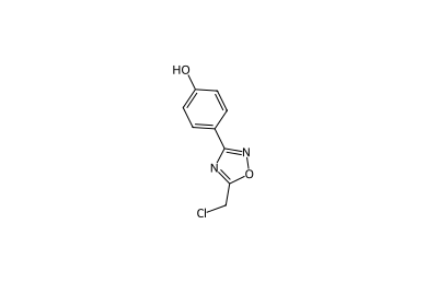 Oc1ccc(-c2noc(CCl)n2)cc1